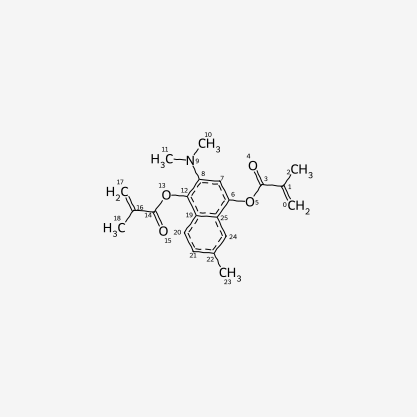 C=C(C)C(=O)Oc1cc(N(C)C)c(OC(=O)C(=C)C)c2ccc(C)cc12